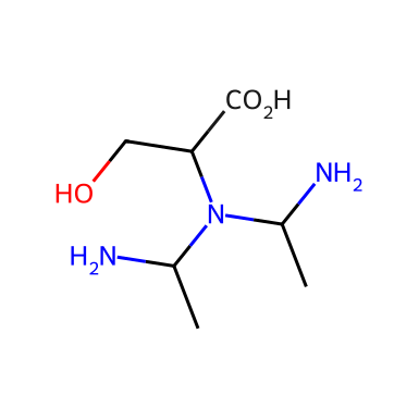 CC(N)N(C(C)N)C(CO)C(=O)O